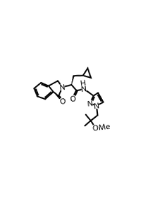 COC(C)(C)Cn1ccc(NC(=O)[C@H](CC2CC2)N2Cc3ccccc3C2=O)n1